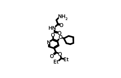 CCC(CC)OC(=O)c1cnc(OC(=O)NC(=O)CN)c(OC2CCCCC2)c1